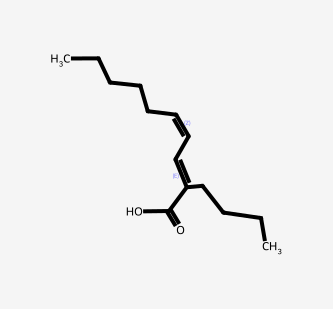 CCCCC/C=C\C=C(/CCCC)C(=O)O